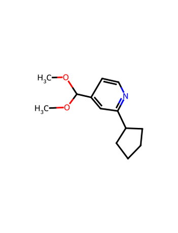 COC(OC)c1ccnc(C2CCCC2)c1